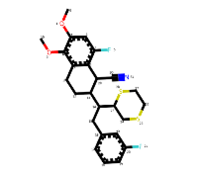 COc1cc(F)c2c(c1OC)CCC(C(Cc1cccc(F)c1)C1CSCCS1)C2C#N